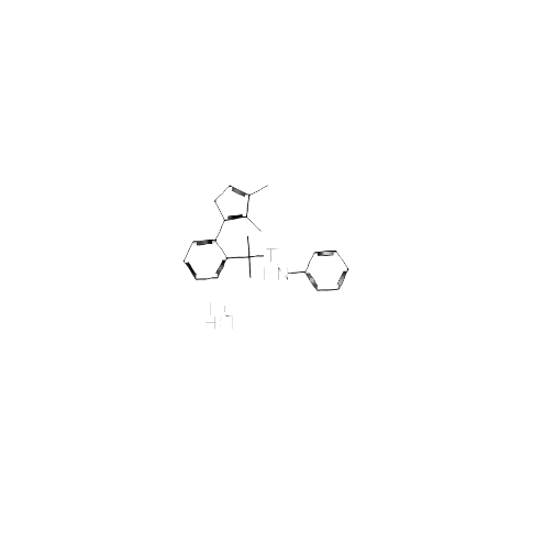 CC1=CCC(c2ccccc2[C](C)(C)[Ti][NH]c2ccccc2)=C1C.Cl.Cl